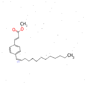 CCCCCCCCCCC/C=C\c1ccc(C=CC(=O)OC)cc1